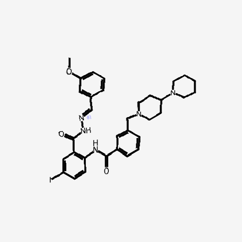 COc1cccc(/C=N/NC(=O)c2cc(I)ccc2NC(=O)c2cccc(CN3CCC(N4CCCCC4)CC3)c2)c1